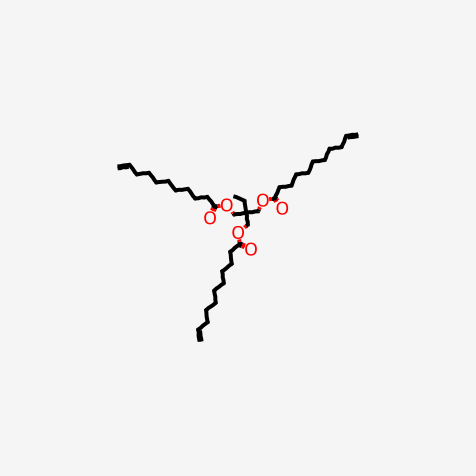 C=CCCCCCCCCC(=O)OCC(CC)(COC(=O)CCCCCCCCC=C)COC(=O)CCCCCCCCC=C